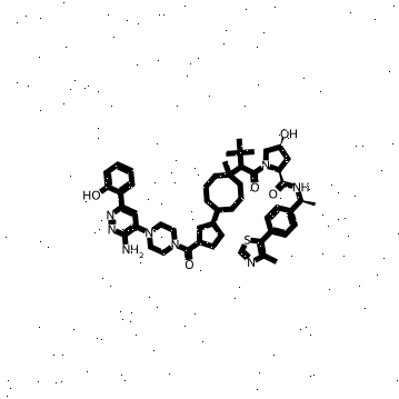 Cc1ncsc1-c1ccc([C@H](C)NC(=O)[C@@H]2C[C@@H](O)CN2C(=O)C(C(C)(C)C)C2(C)CCCC(C3CCC(C(=O)N4CCN(c5cc(-c6ccccc6O)nnc5N)CC4)C3)CCC2)cc1